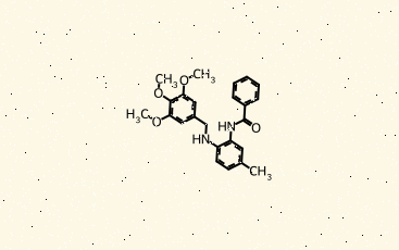 COc1cc(CNc2ccc(C)cc2NC(=O)c2ccccc2)cc(OC)c1OC